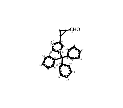 O=C[C@@H]1C[C@@H]1c1cn(C(c2ccccc2)(c2ccccc2)c2ccccc2)cn1